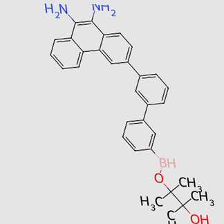 CC(C)(O)C(C)(C)OBc1cccc(-c2cccc(-c3ccc4c(N)c(N)c5ccccc5c4c3)c2)c1